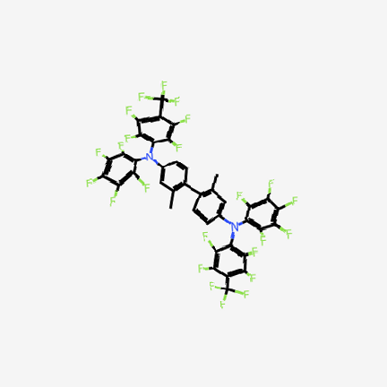 Cc1cc(N(c2c(F)c(F)c(F)c(F)c2F)c2c(F)c(F)c(C(F)(F)F)c(F)c2F)ccc1-c1ccc(N(c2c(F)c(F)c(F)c(F)c2F)c2c(F)c(F)c(C(F)(F)F)c(F)c2F)cc1C